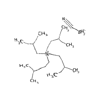 CC(C)C[N+](CC(C)C)(CC(C)C)CC(C)C.[BH3-]C#N